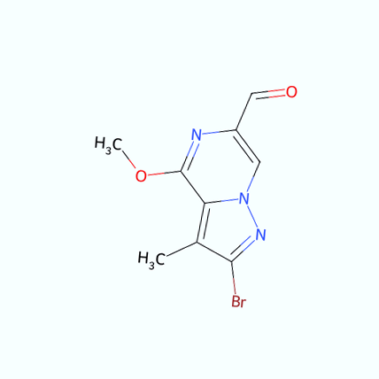 COc1nc(C=O)cn2nc(Br)c(C)c12